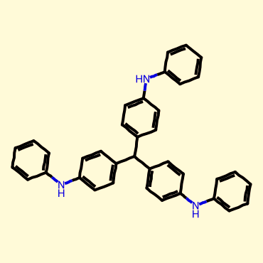 c1ccc(Nc2ccc(C(c3ccc(Nc4ccccc4)cc3)c3ccc(Nc4ccccc4)cc3)cc2)cc1